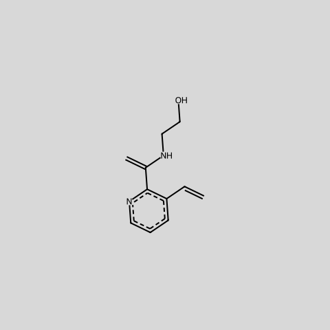 C=Cc1cccnc1C(=C)NCCO